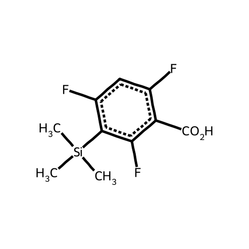 C[Si](C)(C)c1c(F)cc(F)c(C(=O)O)c1F